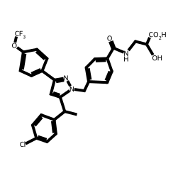 CC(c1ccc(Cl)cc1)c1cc(-c2ccc(OC(F)(F)F)cc2)nn1Cc1ccc(C(=O)NCC(O)C(=O)O)cc1